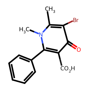 Cc1c(Br)c(=O)c(C(=O)O)c(-c2ccccc2)n1C